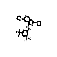 C[C@@H](Nc1nc(N2CCCC2)nc2cnc(N3CCCC3)cc12)c1cc([N+](=O)[O-])cc(C(F)(F)F)c1